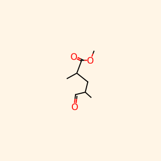 COC(=O)C(C)CC(C)C=O